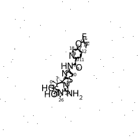 C[C@H]1[C@@](C)(c2nc(NC(=O)c3ccc(OC(F)F)cn3)cs2)N=C(N)N(C)S1(O)O